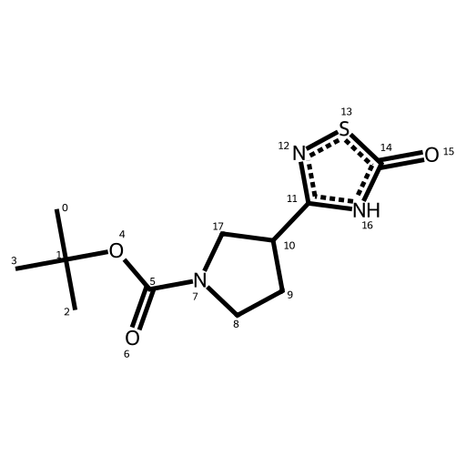 CC(C)(C)OC(=O)N1CCC(c2nsc(=O)[nH]2)C1